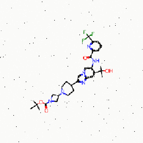 CC(C)(C)OC(=O)N1CC(N2CCC(c3cn4cc(NC(=O)c5cccc(C(F)(F)F)n5)c(C(C)(C)O)cc4n3)CC2)C1